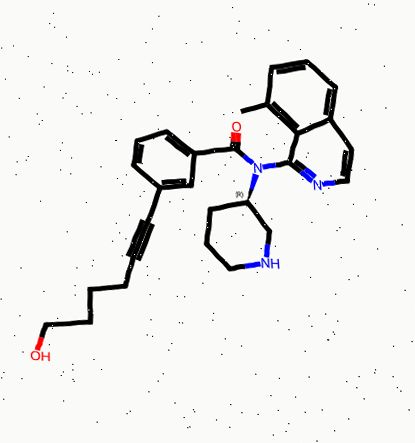 Cc1cccc2ccnc(N(C(=O)c3cccc(C#CCCCCO)c3)[C@@H]3CCCNC3)c12